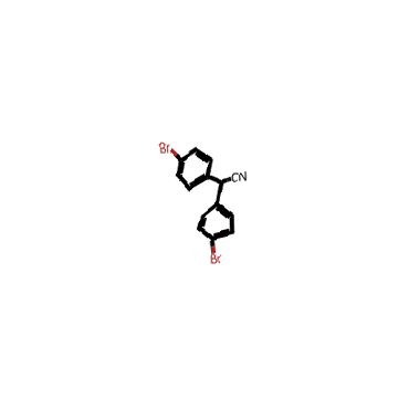 N#CC(c1ccc(Br)cc1)c1ccc(Br)cc1